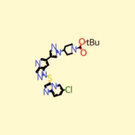 CC(C)(C)OC(=O)N1CCC(n2cc(-c3cnc4cnn(Sc5cnc6ccc(Cl)cn56)c4c3)cn2)CC1